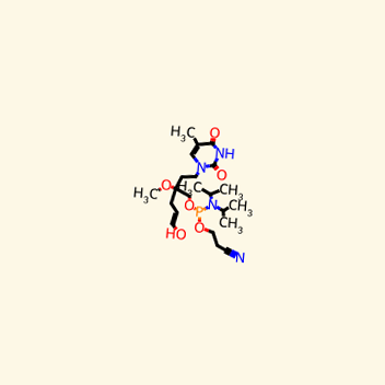 COC(CC=CO)(CCn1cc(C)c(=O)[nH]c1=O)COP(OCCC#N)N(C(C)C)C(C)C